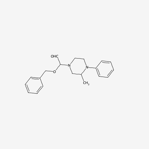 CC1CN(C(C=O)OCc2ccccc2)CCN1c1ccccc1